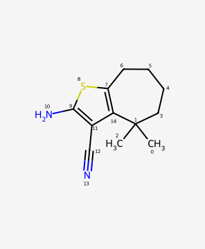 CC1(C)CCCCc2sc(N)c(C#N)c21